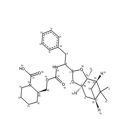 CC1(C)[C@@H]2C[C@H]3OB(C(Cc4ccccc4)NC(=O)OC[C@H]4CCCCN4C(=O)O)O[C@@]3(C)[C@H]1C2